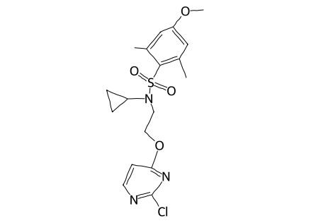 COc1cc(C)c(S(=O)(=O)N(CCOc2ccnc(Cl)n2)C2CC2)c(C)c1